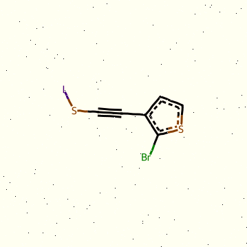 Brc1sccc1C#CSI